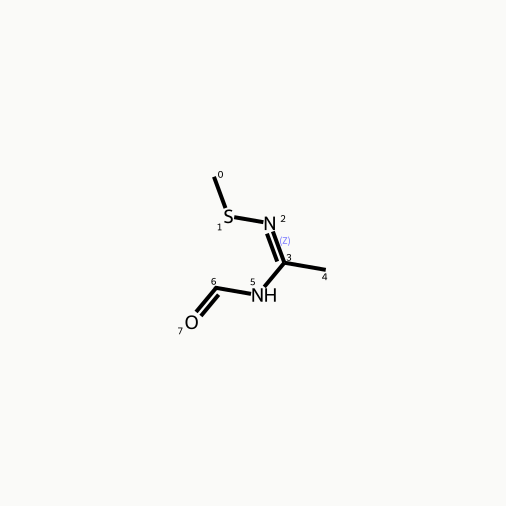 CS/N=C(/C)NC=O